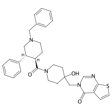 O=C([C@@H]1CCN(Cc2ccccc2)C[C@H]1c1ccccc1)N1CCC(O)(Cn2cnc3sccc3c2=O)CC1